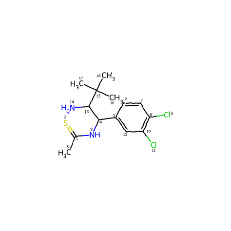 CC(=S)NC(c1ccc(Cl)c(Cl)c1)C(N)C(C)(C)C